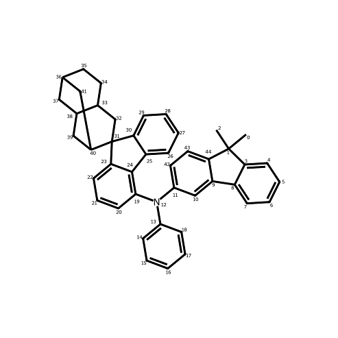 CC1(C)c2ccccc2-c2cc(N(c3ccccc3)c3cccc4c3-c3ccccc3C43CC4CCC5CC4CC3C5)ccc21